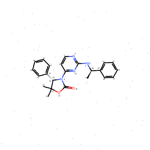 C[C@@H](Nc1nccc(N2C(=O)OC(C)(C)[C@@H]2c2ccccc2)n1)c1ccccc1